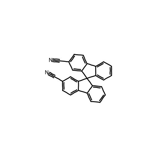 N#Cc1ccc2c(c1)C1(c3ccccc3-2)c2ccccc2-c2ccc(C#N)cc21